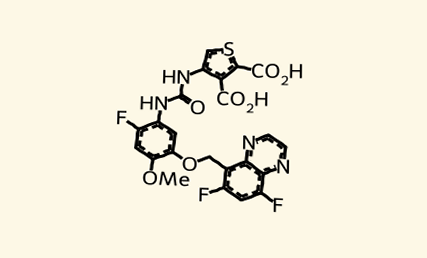 COc1cc(F)c(NC(=O)Nc2csc(C(=O)O)c2C(=O)O)cc1OCc1c(F)cc(F)c2nccnc12